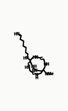 CNC12CNCCNCC(NCCCCCCC=N)(CNCCNC1)CNCCNC2